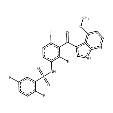 COc1ccnc2[nH]cc(C(=O)c3c(F)ccc(NS(=O)(=O)c4cc(F)ccc4F)c3F)c12